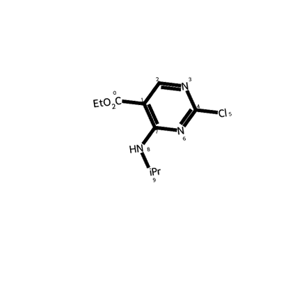 CCOC(=O)c1cnc(Cl)nc1NC(C)C